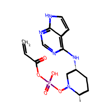 C=CC(=O)OP(=O)(O)ON1C[C@H](Nc2ncnc3[nH]ccc23)CC[C@@H]1C